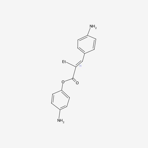 CC/C(=C\c1ccc(N)cc1)C(=O)Oc1ccc(N)cc1